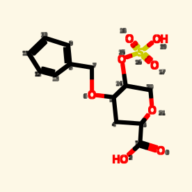 O=C(O)C1CC(OCc2ccccc2)C(OS(=O)(=O)O)CO1